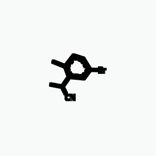 Cc1ccc(Br)cc1C(C)C#N